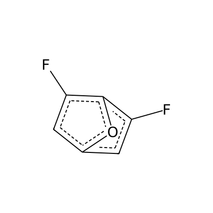 Fc1cc2cc(F)c1o2